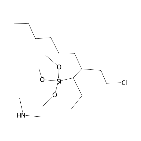 CCCCCCC(CCCl)C(CC)[Si](OC)(OC)OC.CNC